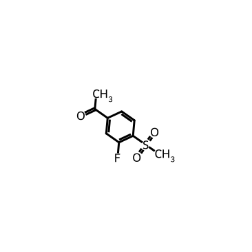 CC(=O)c1ccc(S(C)(=O)=O)c(F)c1